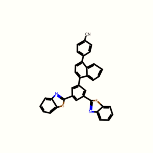 N#Cc1ccc(-c2ccc(-c3cc(-c4nc5ccccc5s4)cc(-c4nc5ccccc5s4)c3)c3ccccc23)cc1